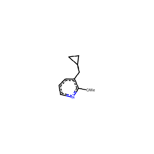 COc1ncccc1CC1CC1